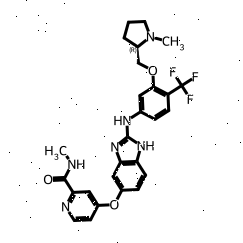 CNC(=O)c1cc(Oc2ccc3[nH]c(Nc4ccc(C(F)(F)F)c(OC[C@H]5CCCN5C)c4)nc3c2)ccn1